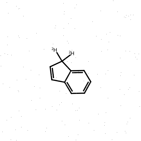 [2H]C1([2H])C=Cc2ccccc21